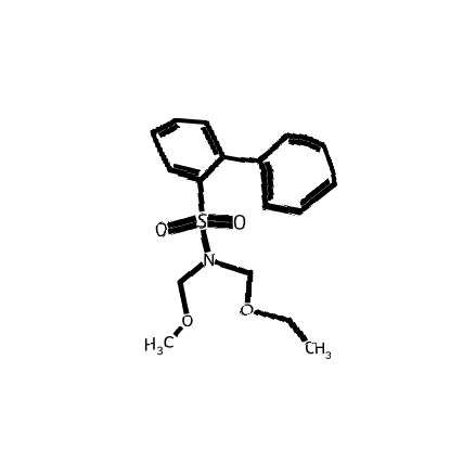 CCOCN(COC)S(=O)(=O)c1ccccc1-c1ccccc1